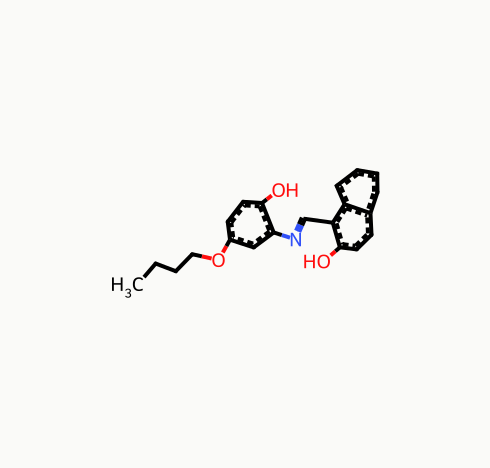 CCCCOc1ccc(O)c(N=Cc2c(O)ccc3ccccc23)c1